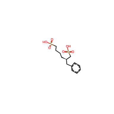 O=S(=O)(O)CCCC[C@H](Cc1ccccc1)CS(=O)(=O)O